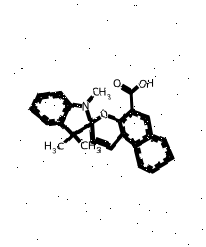 CN1c2ccccc2C(C)(C)C12C=Cc1c(c(C(=O)O)cc3ccccc13)O2